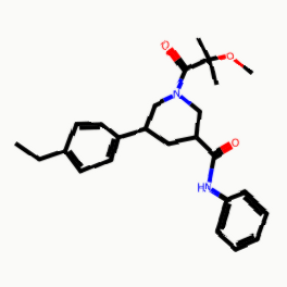 CCc1ccc(C2CC(C(=O)Nc3ccccc3)CN(C(=O)C(C)(C)OC)C2)cc1